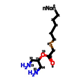 CCCCCCCCCCCCCCSCC(=O)OC(CN)CN